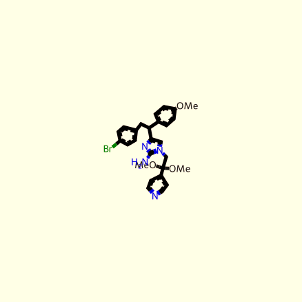 COc1ccc(C(Cc2ccc(Br)cc2)c2cn(CC(OC)(OC)c3ccncc3)c(N)n2)cc1